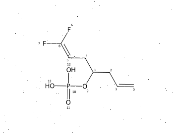 C=CCC(CC=C(F)F)OP(=O)(O)O